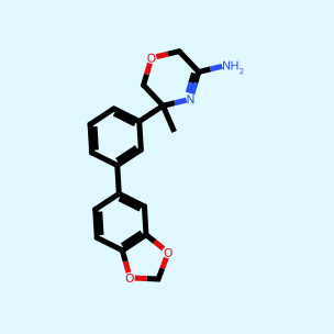 CC1(c2cccc(-c3ccc4c(c3)OCO4)c2)COCC(N)=N1